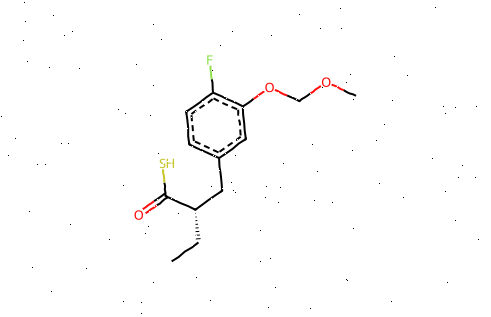 CC[C@@H](Cc1ccc(F)c(OCOC)c1)C(=O)S